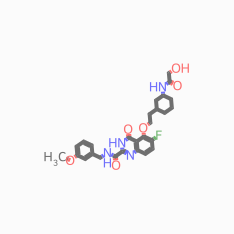 COc1cccc(CNC(=O)c2nc3ccc(F)c(OCCC4CCCC(NC(=O)CO)C4)c3c(=O)[nH]2)c1